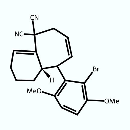 COc1ccc(OC)c(C2C=CCC(C#N)(C#N)C3=CCCC[C@H]32)c1Br